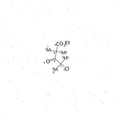 [2H]C([2H])(Cl)C(=O)C([2H])([2H])C(=O)OCC